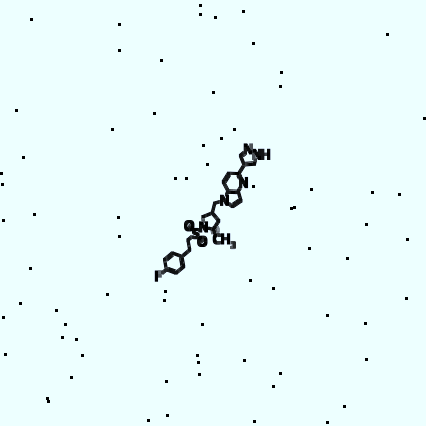 C[C@@H]1CC(Cn2ccc3nc(-c4cn[nH]c4)ccc32)CN1S(=O)(=O)CCc1ccc(F)cc1